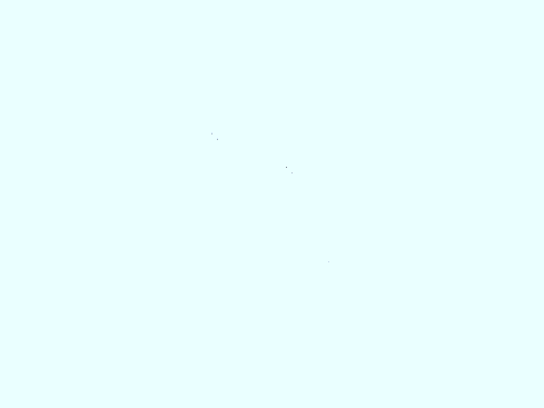 CCN(CC=CC#CC(C)(C)C)Cc1cccc(N)c1